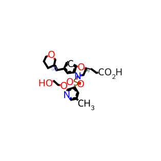 Cc1cnc(OCCO)c(S(=O)(=O)N2C[C@H](CCC(=O)O)Oc3ccc(/C=C4/CCCOC4)cc32)c1